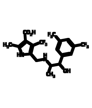 Cc1[nH]c(CNC(C)C(O)c2cc(C(F)(F)F)cc(C(F)(F)F)c2)c(C(F)(F)F)c1C(=O)O